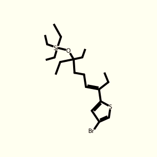 CCC(=CCCC(CC)(CC)O[Si](CC)(CC)CC)c1cc(Br)cs1